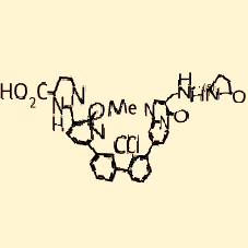 COc1nc(-c2cccc(-c3cccc(-c4ccn5c(=O)c(CNC[C@@H]6CCC(=O)N6)cnc5c4)c3Cl)c2Cl)ccc1C1=NCCC(C(=O)O)N1